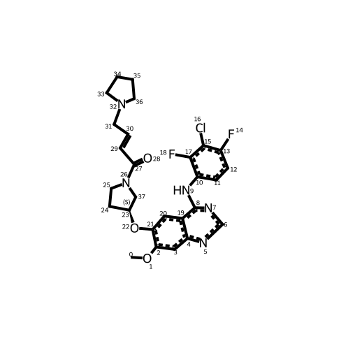 COc1cc2ncnc(Nc3ccc(F)c(Cl)c3F)c2cc1O[C@H]1CCN(C(=O)C=CCN2CCCC2)C1